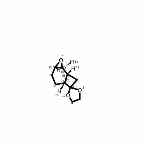 C1COC2(C[C@H]3[C@@H]4O[C@@H]4CC[C@H]32)O1